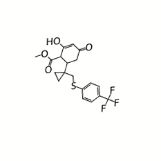 COC(=O)C1C(O)=CC(=O)CC1C1(CSc2ccc(C(F)(F)F)cc2)CC1